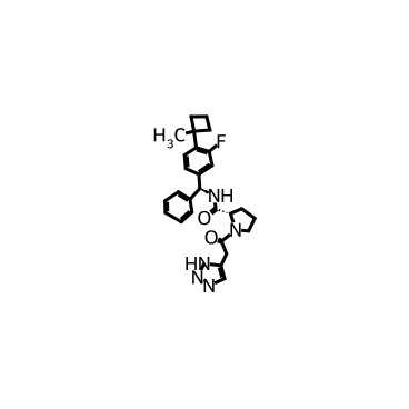 CC1(c2ccc([C@@H](NC(=O)[C@@H]3CCCN3C(=O)Cc3cnn[nH]3)c3ccccc3)cc2F)CCC1